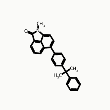 CN1C(=O)c2cccc3c(-c4ccc(C(C)(C)c5ccccc5)cc4)ccc1c23